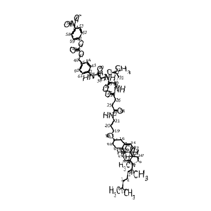 CC(C)CCC[C@@H](C)[C@H]1CC[C@H]2[C@@H]3CC=C4CC(OCCCNC(=O)CCC(=O)N[C@@H](CC(C)C)C(=O)NCC(=O)Nc5ccc(COC(=O)Oc6ccc([N+](=O)[O-])cc6)cc5)CC[C@]4(C)[C@H]3CC[C@]12C